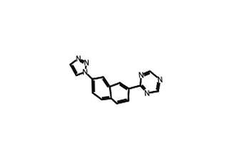 c1cn(-c2ccc3ccc(-c4ncncn4)cc3c2)nn1